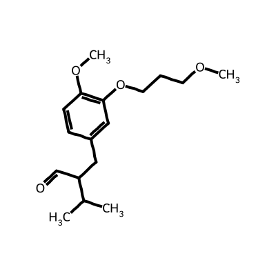 COCCCOc1cc(CC(C=O)C(C)C)ccc1OC